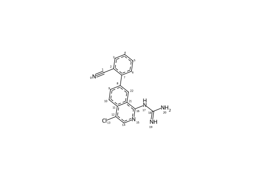 N#Cc1ccccc1-c1ccc2c(Cl)cnc(NC(=N)N)c2c1